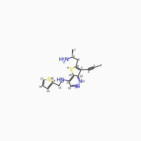 CC#Cc1c(C[C@H](C)N)sc2c(NCc3cccs3)cnnc12